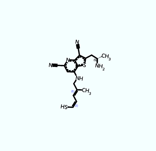 C/C(=C\C=C/S)CNc1cc(C#N)nc2c(C#N)c(C[C@H](C)N)sc12